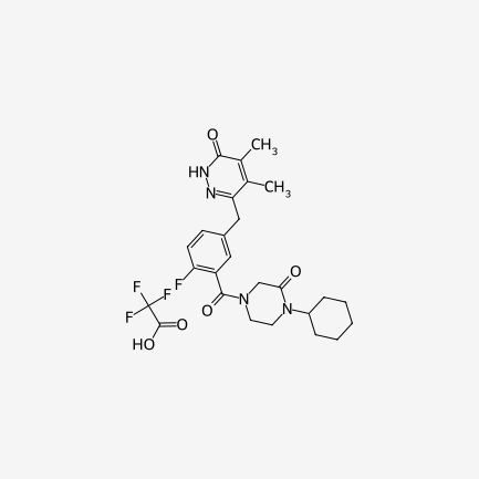 Cc1c(Cc2ccc(F)c(C(=O)N3CCN(C4CCCCC4)C(=O)C3)c2)n[nH]c(=O)c1C.O=C(O)C(F)(F)F